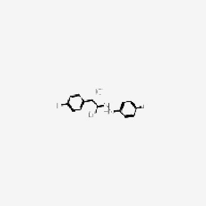 Cl.Fc1ccc(CC(Br)NNc2ccc(Cl)cc2)cc1